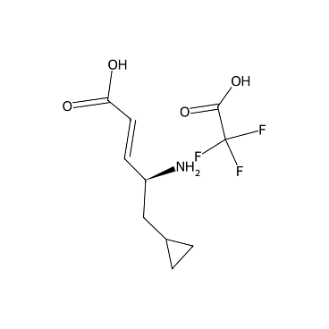 N[C@H](/C=C/C(=O)O)CC1CC1.O=C(O)C(F)(F)F